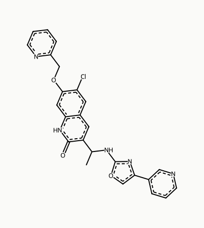 CC(Nc1nc(-c2cccnc2)co1)c1cc2cc(Cl)c(OCc3ccccn3)cc2[nH]c1=O